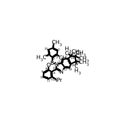 Cc1cc(C)c(B2Oc3cccc(C(C)C)c3-c3nc4cc5c(cc4n32)C(C)(C)C(C)(C)C5(C)C)c(C)c1